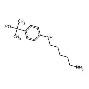 CC(C)(O)c1ccc(NCCCCCN)cc1